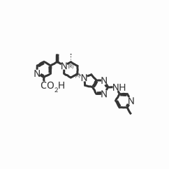 C=C(c1ccnc(C(=O)O)c1)N1CC[C@@H](N2Cc3cnc(Nc4ccc(C)nc4)nc3C2)C[C@H]1C